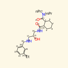 CCCN(CCC)C(=O)C1CCCCC1C(=O)NCC(O)CNCc1cccc(CC)c1